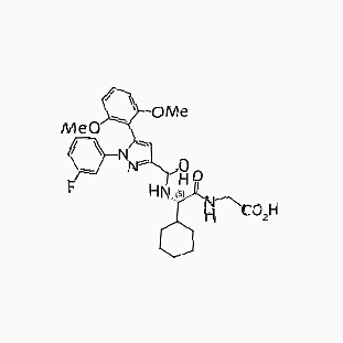 COc1cccc(OC)c1-c1cc(C(O)N[C@H](C(=O)NCC(=O)O)C2CCCCC2)nn1-c1cccc(F)c1